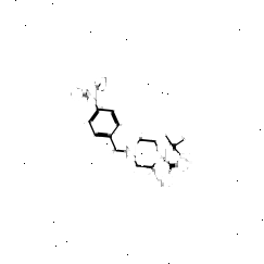 C[C@H]1CN(Cc2ccc([N+](=O)[O-])cc2)CC[N+]1(C(=O)[O-])C(C)(C)C